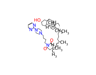 CC(C)CCC[C@@H](C)[C@H]1CC[C@H]2[C@@H]3CC=C4C[C@@H](O)CC[C@]4(C)[C@H]3CC[C@]12C.CC1(C)CC(=O)N(CCCCN2CCN(c3ncccn3)CC2)C(=O)C1